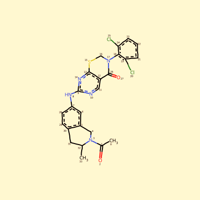 CC(=O)N1Cc2cc(Nc3ncc4c(n3)SCN(c3c(Cl)cccc3Cl)C4=O)ccc2CC1C